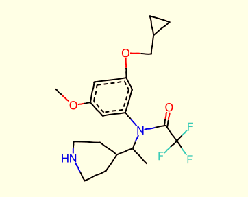 COc1cc(OCC2CC2)cc(N(C(=O)C(F)(F)F)C(C)C2CCNCC2)c1